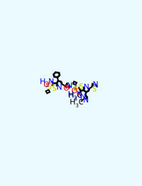 Cc1ncc(-c2cc(-c3cncs3)nc3sc([S+]([O-])C4CCC4[n+]4coc(-c5cc(-c6ccccc6)c6c(N)c([S+]([O-])C7CCC7)sc6n5)c4)c(N)c23)n1C